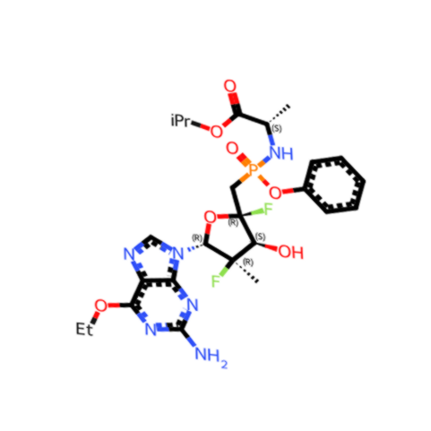 CCOc1nc(N)nc2c1ncn2[C@@H]1O[C@](F)(CP(=O)(N[C@@H](C)C(=O)OC(C)C)Oc2ccccc2)[C@@H](O)[C@@]1(C)F